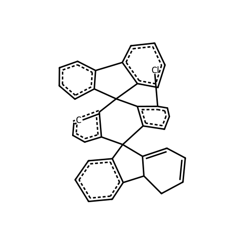 Clc1cccc2c1C1(c3ccccc3-c3ccccc31)c1ccccc1C21C2=CC=CCC2c2ccccc21